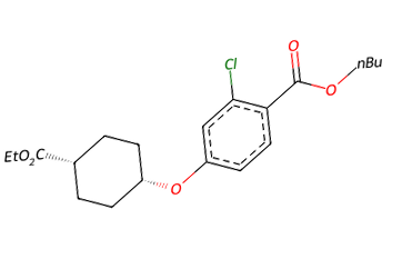 CCCCOC(=O)c1ccc(O[C@H]2CC[C@@H](C(=O)OCC)CC2)cc1Cl